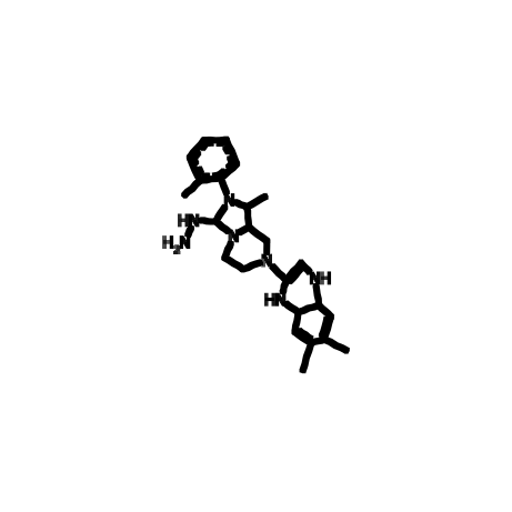 CC1=CC2NC=C(N3CCN4C(C3)C(C)N(c3ccccc3C)C4NN)NC2C=C1C